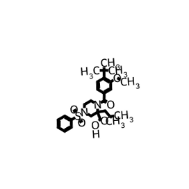 COc1cc(C(=O)N2CCN(S(=O)(=O)c3ccccc3)CC2(CC(C)C)C(=O)O)ccc1C(C)(C)C